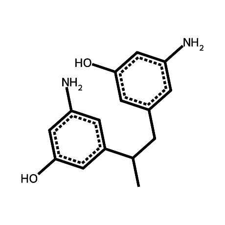 CC(Cc1cc(N)cc(O)c1)c1cc(N)cc(O)c1